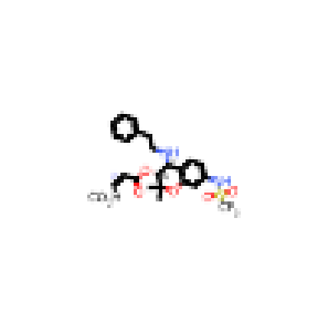 CC1(C)Oc2cc(NS(=O)(=O)C(F)(F)F)ccc2[C@H](NCCc2ccccc2)[C@H]1OC(=O)/C=C\C(=O)O